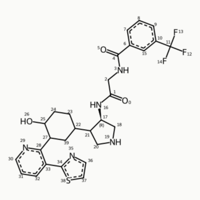 O=C(CNC(=O)c1cccc(C(F)(F)F)c1)N[C@H]1CNCC1C1CCC(O)C(c2ncccc2-c2nccs2)C1